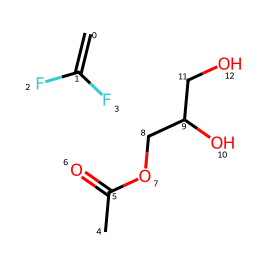 C=C(F)F.CC(=O)OCC(O)CO